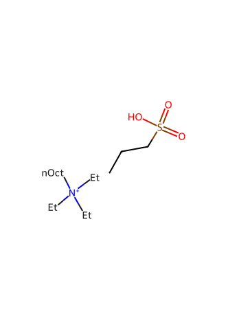 CCCCCCCC[N+](CC)(CC)CC.CCCS(=O)(=O)O